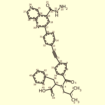 CC(C)CN(C(=O)c1ccc(C#Cc2ccc(-c3cc(C(=O)NN)c4cnccc4n3)cc2)cc1)C(Cc1ccccc1)C(=O)O